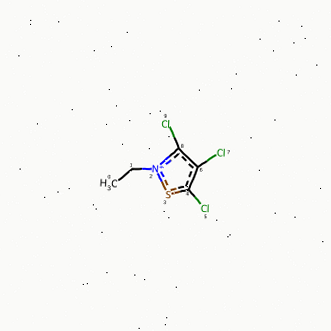 CC[n+]1sc(Cl)c(Cl)c1Cl